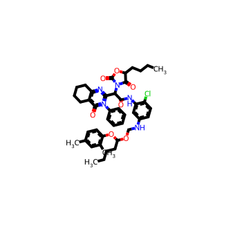 CCCCC(OCNc1ccc(Cl)c(NC(=O)C(c2nc3c(c(=O)n2-c2ccccc2)CCCC3)N2C(=O)OC(CCCC)C2=O)c1)Oc1ccc(C)cc1C